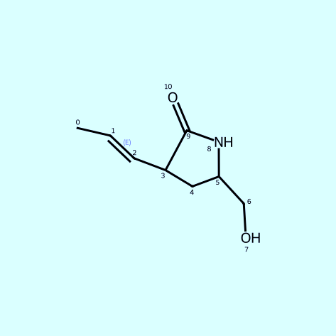 C/C=C/C1CC(CO)NC1=O